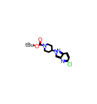 CC(C)(C)OC(=O)N1CCC(n2cc3nc(Cl)ccc3n2)CC1